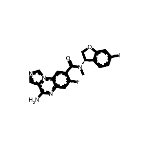 CN(C(=O)c1cc2c(cc1F)nc(N)c1cncn12)[C@@H]1COc2cc(I)ccc21